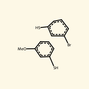 COc1cccc(S)c1.Sc1cccc(Br)c1